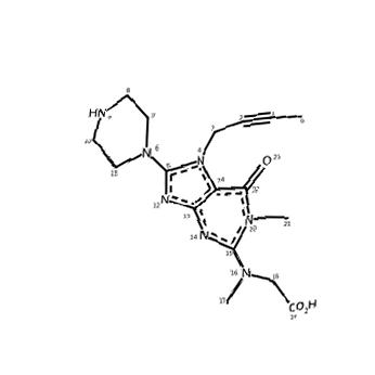 CC#CCn1c(N2CCNCC2)nc2nc(N(C)CC(=O)O)n(C)c(=O)c21